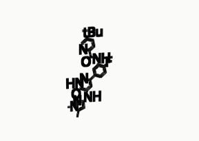 Cc1cc(Nc2cc(-c3ccc(F)c(NC(=O)c4ccc(C(C)(C)C)cn4)c3)n[nH]c2=O)nn1C